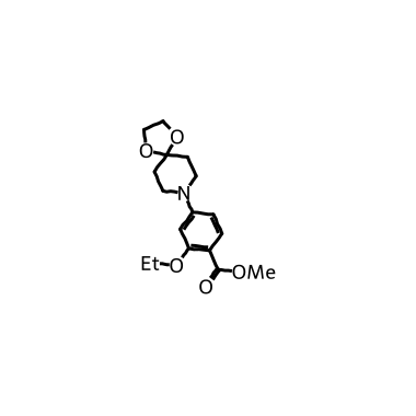 CCOc1cc(N2CCC3(CC2)OCCO3)ccc1C(=O)OC